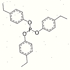 CCc1ccc(OP(Oc2ccc(CC)cc2)Oc2ccc(CC)cc2)cc1